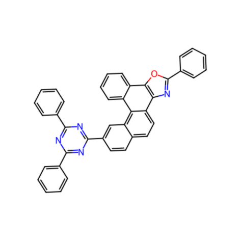 c1ccc(-c2nc(-c3ccccc3)nc(-c3ccc4ccc5c6nc(-c7ccccc7)oc6c6ccccc6c5c4c3)n2)cc1